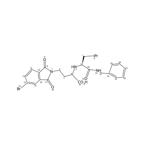 CC(C)C[C@H](NC(CCN1C(=O)c2ccc(Br)cc2C1=O)C(=O)O)C(=O)NCc1ccccc1